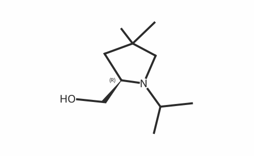 CC(C)N1CC(C)(C)C[C@@H]1CO